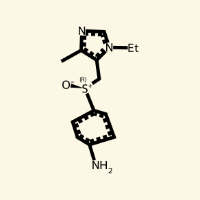 CCn1cnc(C)c1C[S@+]([O-])c1ccc(N)cc1